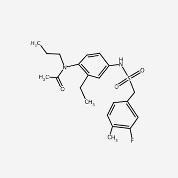 CCCN(C(C)=O)c1ccc(NS(=O)(=O)Cc2ccc(C)c(F)c2)cc1CC